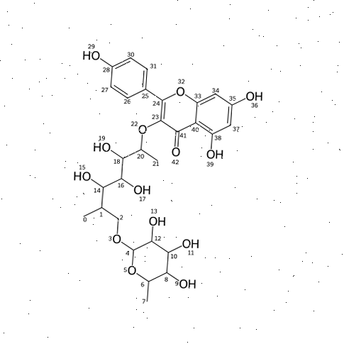 CC(COC1OC(C)C(O)C(O)C1O)C(O)C(O)C(O)C(C)Oc1c(-c2ccc(O)cc2)oc2cc(O)cc(O)c2c1=O